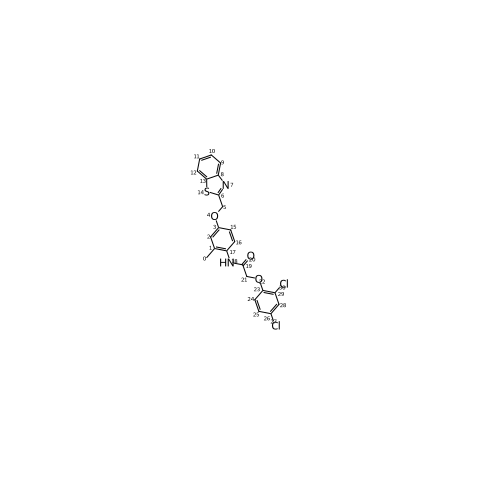 Cc1cc(OCc2nc3ccccc3s2)ccc1NC(=O)COc1ccc(Cl)cc1Cl